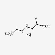 CCOC(=O)CCNCC(C)C(=O)OCC.Cl